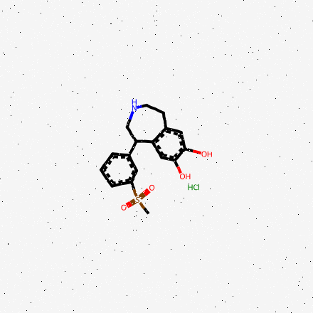 CS(=O)(=O)c1cccc(C2CNCCc3cc(O)c(O)cc32)c1.Cl